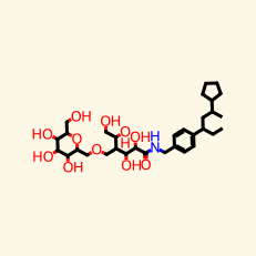 CCC(CC(C)C1CCCC1)c1ccc(CNC(=O)C(O)C(O)C(COCC2OC(CO)C(O)C(O)C2O)C(O)CO)cc1